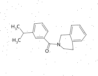 CC(C)c1cccc(C(=O)N2CCc3ccccc3C2)c1